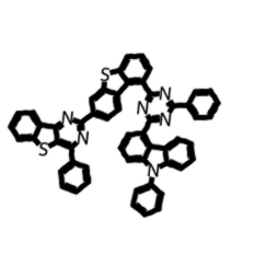 c1ccc(-c2nc(-c3cccc4sc5cc(-c6nc(-c7ccccc7)c7sc8ccccc8c7n6)ccc5c34)nc(-c3cccc4c3c3ccccc3n4-c3ccccc3)n2)cc1